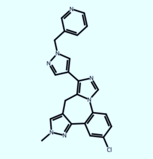 Cn1cc2c(n1)-c1cc(Cl)ccc1-n1cnc(-c3cnn(Cc4cccnc4)c3)c1C2